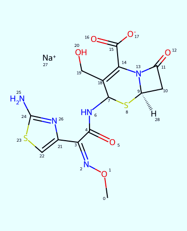 CO/N=C(\C(=O)NC1S[C@@H]2CC(=O)N2C(C(=O)[O-])=C1CO)c1csc(N)n1.[Na+]